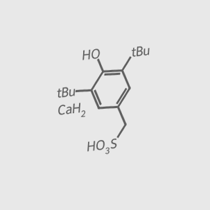 CC(C)(C)c1cc(CS(=O)(=O)O)cc(C(C)(C)C)c1O.[CaH2]